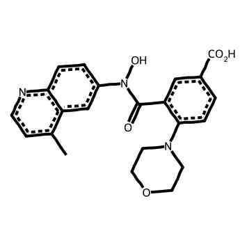 Cc1ccnc2ccc(N(O)C(=O)c3cc(C(=O)O)ccc3N3CCOCC3)cc12